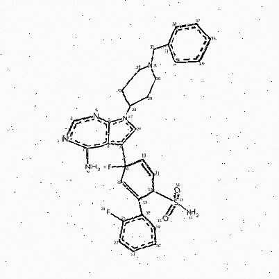 Nc1ncnc2c1c(C1(F)C=CC(S(N)(=O)=O)C(c3ccccc3F)=C1)cn2C1CCN(Cc2ccccc2)CC1